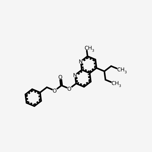 CCC(CC)c1cc(C)nc2nc(OC(=O)OCc3ccccc3)ccc12